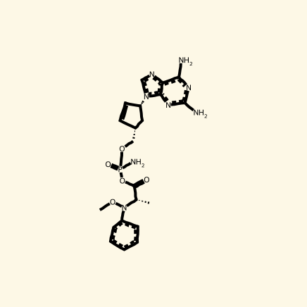 CON(c1ccccc1)[C@@H](C)C(=O)OP(N)(=O)OC[C@@H]1C=C[C@H](n2cnc3c(N)nc(N)nc32)C1